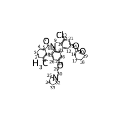 Cc1cccc(C(=O)N(Cc2ccc(OC3CCCCO3)cc2Cl)c2ccc(OCCN3CCCC3)cc2)c1